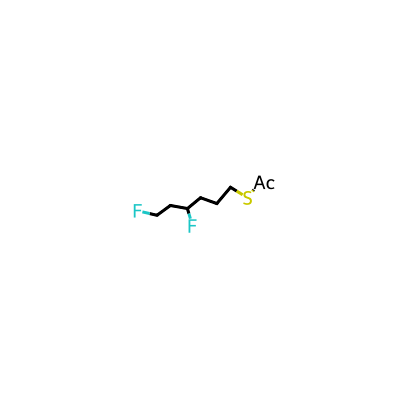 CC(=O)SCCCC(F)CCF